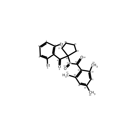 CCc1cccc(CC)c1C(=O)C1([P](=O)C(=O)c2c(C)cc(C)cc2C)CCCC1